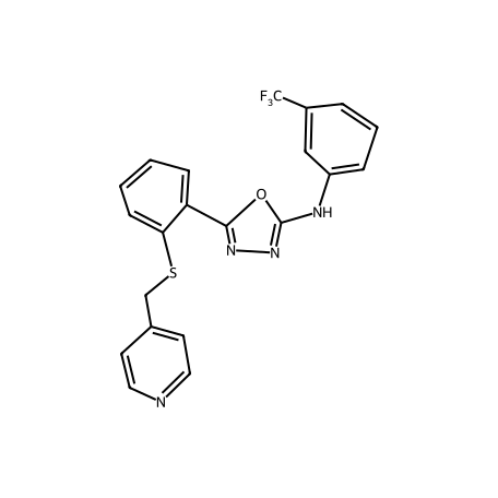 FC(F)(F)c1cccc(Nc2nnc(-c3ccccc3SCc3ccncc3)o2)c1